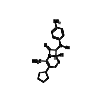 CC(=O)N(c1ccc([N+](=O)[O-])cc1)C1C(=O)N2C(C(=O)O)=C(C3CCCC3)CS[C@@H]12